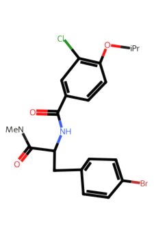 CNC(=O)C(Cc1ccc(Br)cc1)NC(=O)c1ccc(OC(C)C)c(Cl)c1